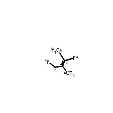 FC/C(=C(/F)C(F)(F)F)C(F)(F)F